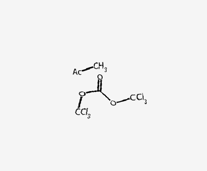 CC(C)=O.O=C(OC(Cl)(Cl)Cl)OC(Cl)(Cl)Cl